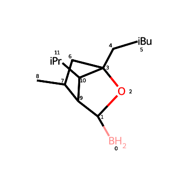 BC1OC2(CC(C)CC)CC(C)C1C2C(C)C